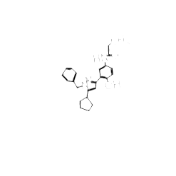 CCC(=O)Nc1ccc(O)c(-c2cc(C3CCCC3)n(Cc3ccccc3)n2)c1